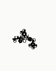 COc1cc2nc(N3CCN(C(=O)c4cc(OC)c(OC)c(OC)c4)CC3)nc(NC(=O)[C@@H]3CCCN3C(=O)C(C)CSC(C)=O)c2cc1OC